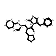 O=CN(CC(CC1CCCC1)C(=O)N1C(=O)OCC1Cc1ccccc1)OC1CCCCO1